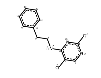 Clc1ncc(Cl)c(NCCc2ccccc2)n1